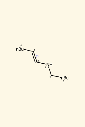 [CH2]CCC/C=C/NCCCCC